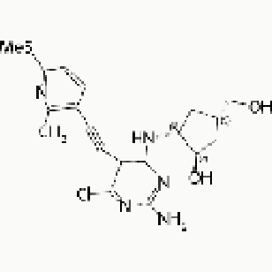 CSc1ccc(C#CC2C(Cl)=NC(N)=NC2N[C@@H]2C[C@H](CO)C[C@H]2O)c(C)n1